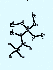 CCO[Si](OCC)(OCC)C(CC)P(C)[Si](C)(C)C